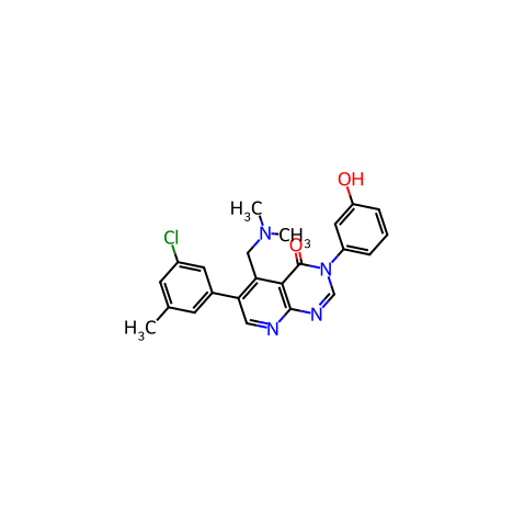 Cc1cc(Cl)cc(-c2cnc3ncn(-c4cccc(O)c4)c(=O)c3c2CN(C)C)c1